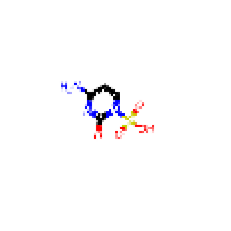 Nc1ccn(S(=O)(=O)O)c(=O)n1